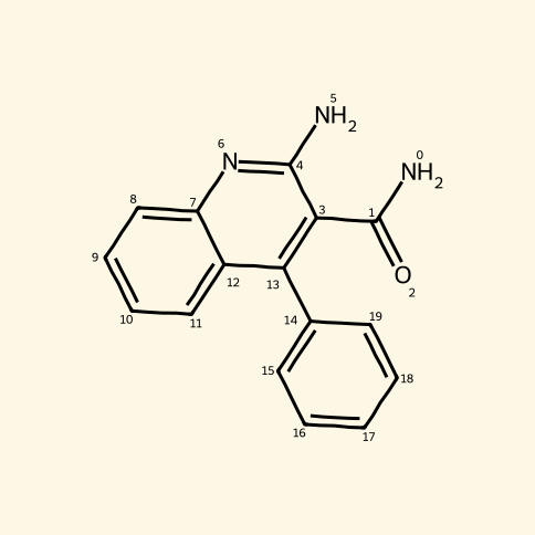 NC(=O)c1c(N)nc2ccccc2c1-c1ccccc1